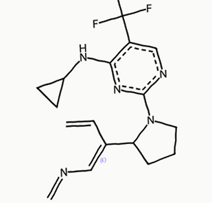 C=C/C(=C\N=C)C1CCCN1c1ncc(C(F)(F)F)c(NC2CC2)n1